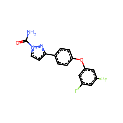 NC(=O)n1ccc(-c2ccc(Oc3cc(F)cc([18F])c3)cc2)n1